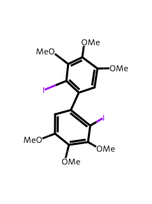 COc1cc(-c2cc(OC)c(OC)c(OC)c2I)c(I)c(OC)c1OC